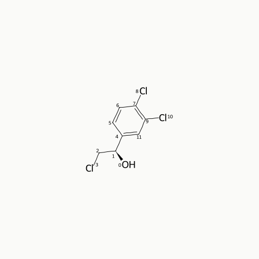 O[C@@H](CCl)c1ccc(Cl)c(Cl)c1